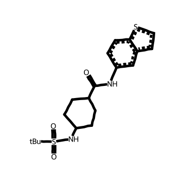 CC(C)(C)S(=O)(=O)NC1CCC(C(=O)Nc2ccc3sccc3c2)CC1